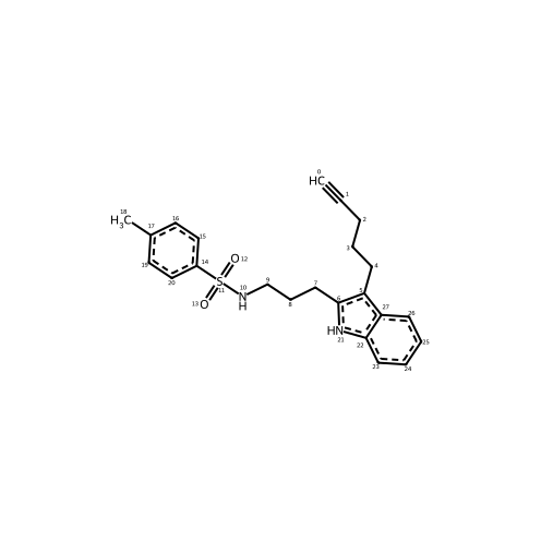 C#CCCCc1c(CCCNS(=O)(=O)c2ccc(C)cc2)[nH]c2ccccc12